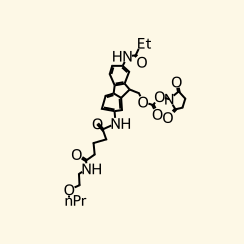 CCCOCCNC(=O)CCCC(=O)Nc1ccc2c(c1)C(COC(=O)ON1C(=O)CCC1=O)c1cc(NC(=O)CC)ccc1-2